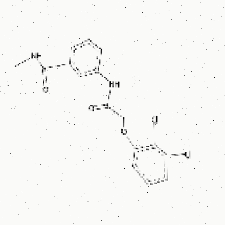 CNC(=O)c1cccc(NC(=O)COc2cccc(Cl)c2Cl)c1